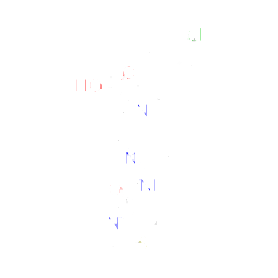 O=C(Nc1ccc(N2CC3(c4ccc(Cl)cc4)OC(O)=C23)cn1)c1cscn1